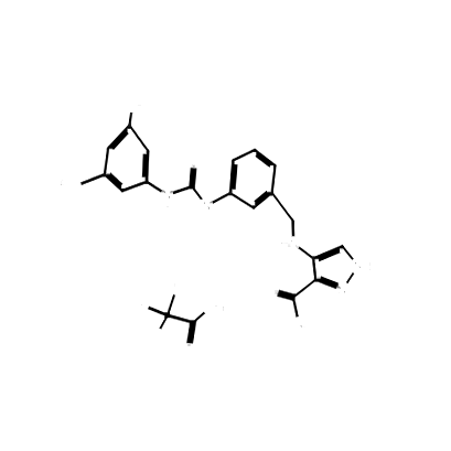 NC(=O)c1n[nH]cc1NCc1cccc(NC(=O)Nc2cc(C(F)(F)F)cc(C(F)(F)F)c2)c1.O=C(O)C(F)(F)F